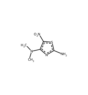 CN(C)c1nc(N)sc1[N+](=O)[O-]